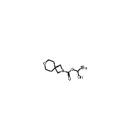 CC(C)(C)C(O)OC(=O)N1CC2(CCOCC2)C1